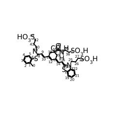 Cc1ccccc1SC(/C=C/C1=CC(=C/C=C2\Sc3ccccc3N2CCCS(=O)(=O)O)/CC(C(=O)O)(C(=O)NCCS(=O)(=O)O)C1)=N/CCCS(=O)(=O)O